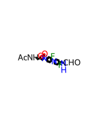 CC(=O)NCC1CN(c2ccc(N3CCC(F)(CNC=O)CC3)c(F)c2)C(=O)O1